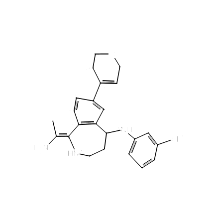 C/C(N)=C1/NCCC(Nc2cccc(Cl)c2)c2cc(C3=CCOCC3)ccc21